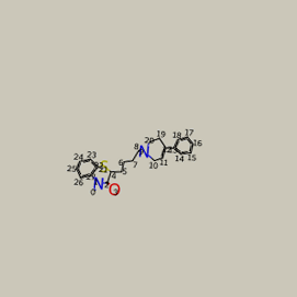 CN1C(=O)C(CCCCN2CC=C(c3ccccc3)CC2)Sc2ccccc21